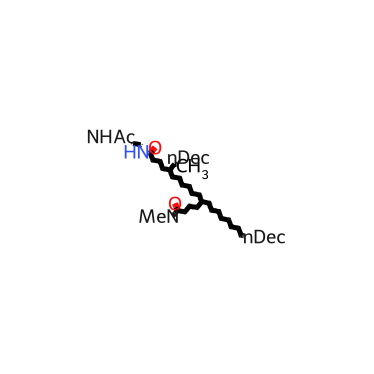 CCCCCCCCCCCCCCCCCCC(CCCCCCC(CCCC(=O)NCCNC(C)=O)C(C)CCCCCCCCCC)CCCC(=O)NC